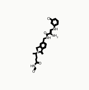 C=C1c2ccc(CNC(=O)/C(N)=C/Nc3cccc(Cl)c3)cc2CN1C(C)CCC(=O)NC=O